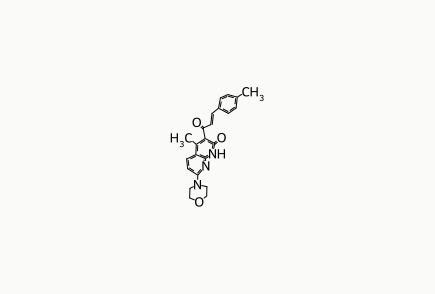 Cc1ccc(C=CC(=O)c2c(C)c3ccc(N4CCOCC4)nc3[nH]c2=O)cc1